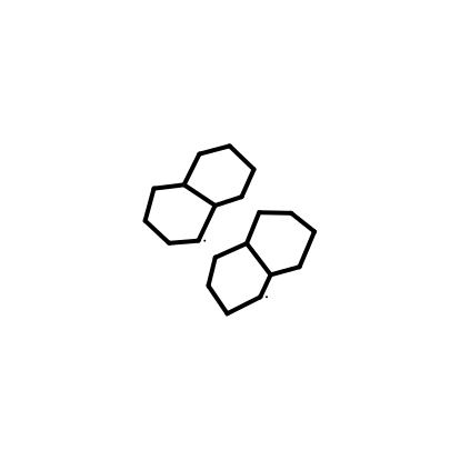 [CH]1CCCC2CCCCC12.[CH]1CCCC2CCCCC12